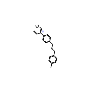 C=C/C(=C\CC)c1ccc(CSCc2ccc(C)cc2)cc1